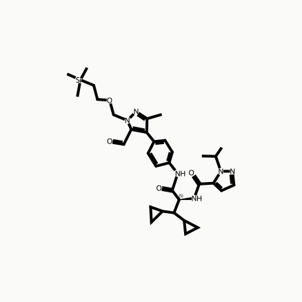 Cc1nn(COCC[Si](C)(C)C)c(C=O)c1-c1ccc(NC(=O)[C@@H](NC(=O)c2ccnn2C(C)C)C(C2CC2)C2CC2)cc1